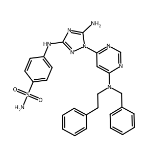 Nc1nc(Nc2ccc(S(N)(=O)=O)cc2)nn1-c1cc(N(CCc2ccccc2)Cc2ccccc2)ncn1